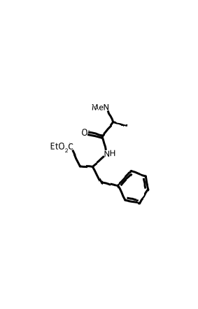 CCOC(=O)CC(Cc1ccccc1)NC(=O)C(C)NC